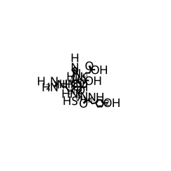 N=C(N)NCCC[C@H](NC(=O)[C@H](CS)NC(=O)[C@@H](N)Cc1ccc(O)cc1)C(=O)N[C@@H](Cc1c[nH]cn1)C(=O)N[C@@H](CCC(=O)O)C(=O)O